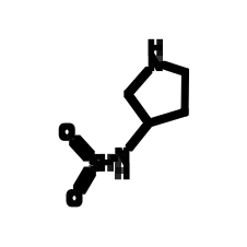 O=[SH](=O)NC1CCNC1